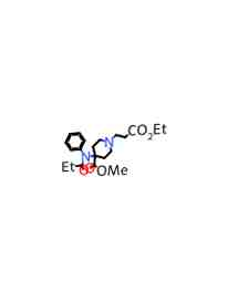 CCOC(=O)CCN1CCC(C(=O)OC)(N(C(=O)CC)c2ccccc2)CC1